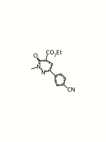 CCOC(=O)c1cc(-c2ccc(C#N)cc2)nn(C)c1=O